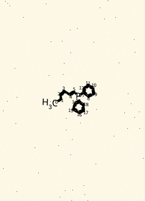 CC/C=C\C=C\P(c1ccccc1)c1ccccc1